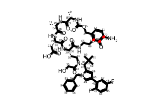 C[C@H](NC(=O)OCc1ccccc1)C(=O)N[C@@H](C)C(=O)N[C@@H](CC(=O)O)C(=O)N[C@@H](CCN(C(=O)CO)[C@@H](c1cc(-c2cc(F)ccc2F)cn1Cc1ccccc1)C(C)(C)C)C(=O)NCCNC(=O)CN